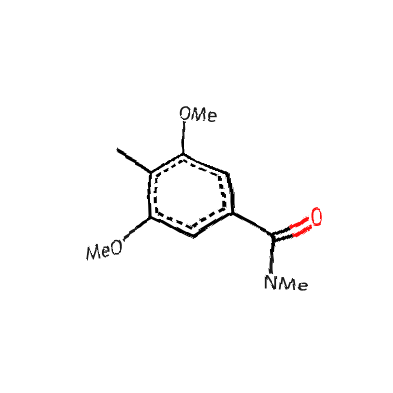 CNC(=O)c1cc(OC)c(C)c(OC)c1